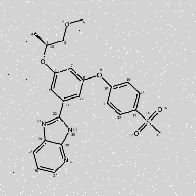 COC[C@H](C)Oc1cc(Oc2ccc(S(C)(=O)=O)cc2)cc(-c2nc3cccnc3[nH]2)c1